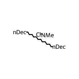 CCCCCCCCCCCCCCCCCC(Cl)CCCCCCCCCCCCCC.CNC